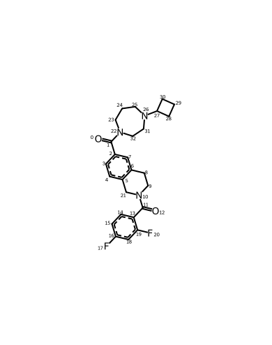 O=C(c1ccc2c(c1)CCN(C(=O)c1ccc(F)cc1F)C2)N1CCCN(C2CCC2)CC1